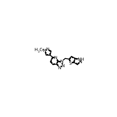 Cn1cc(-c2ccc3nnn(Cc4cc5[nH]ncc5s4)c3n2)cn1